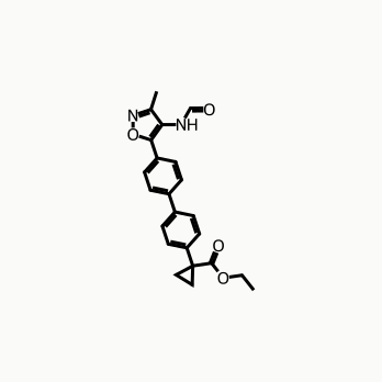 CCOC(=O)C1(c2ccc(-c3ccc(-c4onc(C)c4NC=O)cc3)cc2)CC1